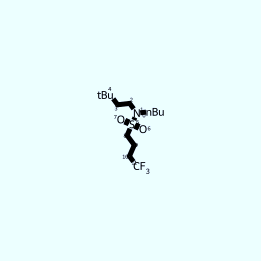 CCCCN(CCC(C)(C)C)S(=O)(=O)CCCC(F)(F)F